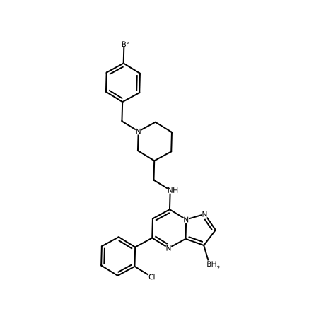 Bc1cnn2c(NCC3CCCN(Cc4ccc(Br)cc4)C3)cc(-c3ccccc3Cl)nc12